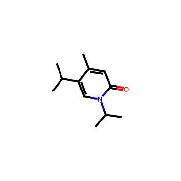 Cc1cc(=O)n(C(C)C)cc1C(C)C